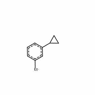 C[CH]c1cccc(C2CC2)c1